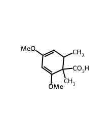 COC1=CC(C)C(C)(C(=O)O)C(OC)=C1